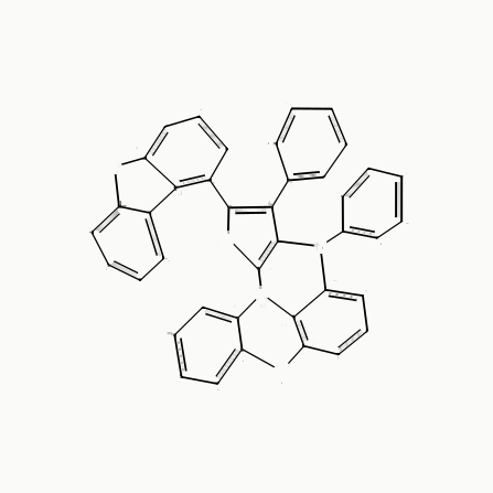 c1ccc(-c2c(-c3cccc4oc5ccccc5c34)sc3c2N(c2ccccc2)c2cccc4c2B3c2ccccc2O4)cc1